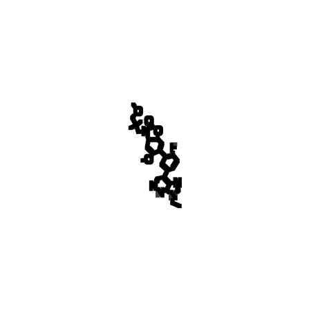 CCn1cnc2c(-c3ccc(F)c(-c4cc5oc(=O)n(CC(C)(C)COC)c5cc4OC)c3)cnnc21